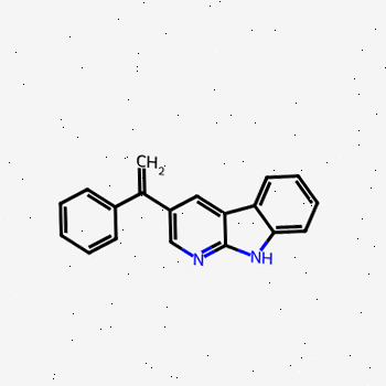 C=C(c1ccccc1)c1cnc2[nH]c3ccccc3c2c1